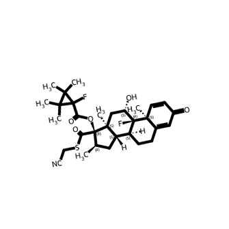 C[C@@H]1C[C@H]2[C@@H]3CCC4=CC(=O)C=C[C@]4(C)[C@@]3(F)[C@@H](O)C[C@]2(C)[C@@]1(OC(=O)C1(F)C(C)(C)C1(C)C)C(=O)SCC#N